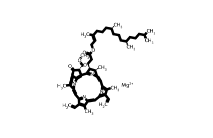 C=CC1=C(C)c2cc3[n-]c(cc4nc(c5c6[n-]c(cc1n2)c(C)c6C(=O)[C@@H]5C(=O)OC)[C@@H](CCC(=O)OC/C=C(\C)CCC[C@H](C)CCC[C@H](C)CCCC(C)C)[C@@H]4C)c(C)c3C=C.[Mg+2]